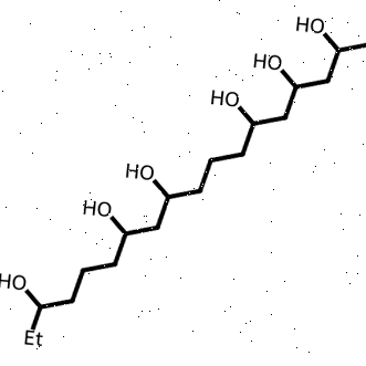 CCC(O)CCCC(O)CC(O)CCCC(O)CC(O)CC(C)O